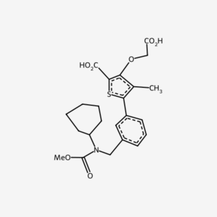 COC(=O)N(Cc1cccc(-c2sc(C(=O)O)c(OCC(=O)O)c2C)c1)C1CCCCC1